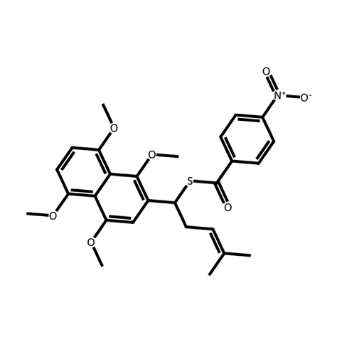 COc1ccc(OC)c2c(OC)c(C(CC=C(C)C)SC(=O)c3ccc([N+](=O)[O-])cc3)cc(OC)c12